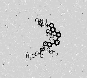 CCOC(=O)C1CN([C@H]2CCc3cc(-c4cccc(-c5cccc(-c6cc7c(c(OC)c6)C(NC[C@@H]6CCC(=O)N6)CC7)c5Cl)c4Cl)cc(OC)c32)C1